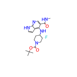 CNC(=O)c1cnc2[nH]ccc2c1N[C@@H]1CCN(C(=O)OC(C)(C)C)C[C@H]1F